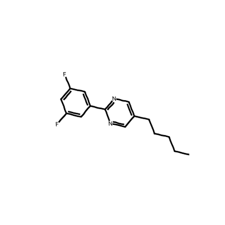 CCCCCc1cnc(-c2cc(F)cc(F)c2)nc1